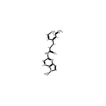 Bn1ccc2nc(NC(=O)CCC(/C=C\C)=C/C=C)cnc21